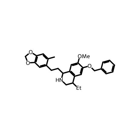 CCC1CNC(CCc2cc3c(cc2C)OCO3)c2cc(OC)c(OCc3ccccc3)cc21